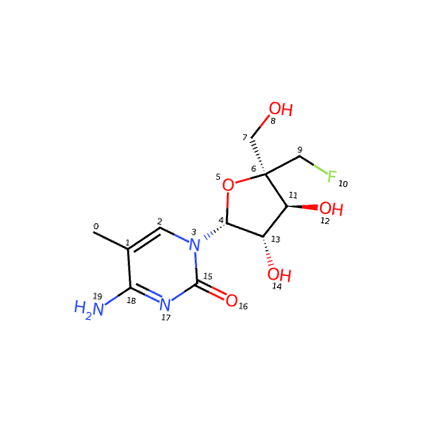 Cc1cn([C@@H]2O[C@@](CO)(CF)[C@@H](O)[C@@H]2O)c(=O)nc1N